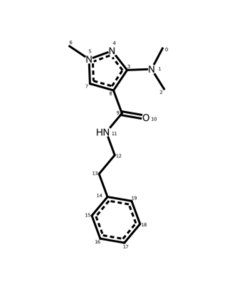 CN(C)c1nn(C)cc1C(=O)NCCc1ccccc1